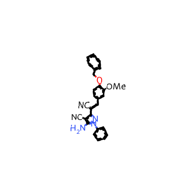 COc1cc(/C=C(\C#N)c2nn(-c3ccccc3)c(N)c2C#N)ccc1OCc1ccccc1